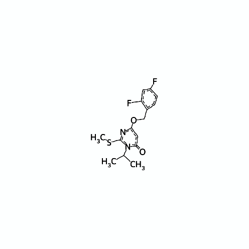 CSc1nc(OCc2ccc(F)cc2F)cc(=O)n1C(C)C